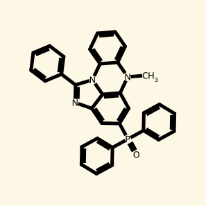 CN1c2ccccc2-n2c(-c3ccccc3)nc3cc(P(=O)(c4ccccc4)c4ccccc4)cc1c32